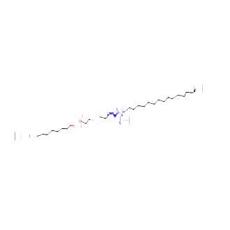 CCCCCCCCCCCCCCCCNC(=N)CCCSCCC(=O)OCCCCCCCCC